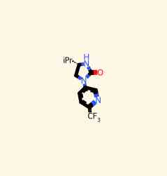 CC(C)[C@H]1CN(c2ccc(C(F)(F)F)nc2)C(=O)N1